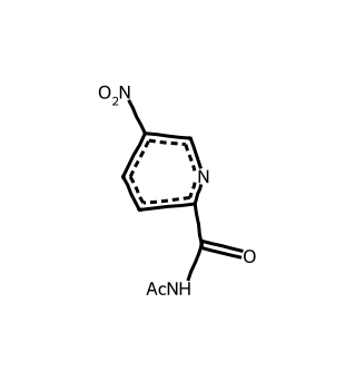 CC(=O)NC(=O)c1ccc([N+](=O)[O-])cn1